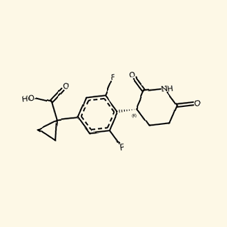 O=C1CC[C@H](c2c(F)cc(C3(C(=O)O)CC3)cc2F)C(=O)N1